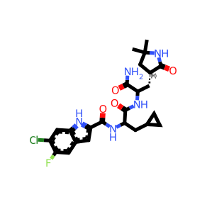 CC1(C)C[C@@H](CC(NC(=O)C(CC2CC2)NC(=O)c2cc3cc(F)c(Cl)cc3[nH]2)C(N)=O)C(=O)N1